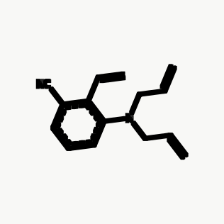 C=CCN(CC=C)c1cccc(C#N)c1C=C